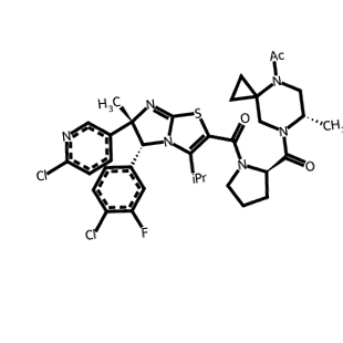 CC(=O)N1C[C@H](C)N(C(=O)[C@H]2CCCN2C(=O)C2=C(C(C)C)N3C(=N[C@@](C)(c4ccc(Cl)nc4)[C@H]3c3ccc(Cl)c(F)c3)S2)CC12CC2